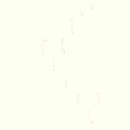 COC(=O)C(CSCc1cccc(O)c1)NC(=O)CN=[N+]=[N-]